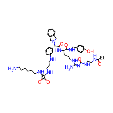 CCC(=O)NCCNC(=O)/N=C(/N)NCCC[C@@H](NC(=O)[C@H](c1cccc(NCCCNc2c(NCCCCCCN)c(=O)c2=O)c1)N1Cc2ccccc2C1)C(=O)NCc1ccc(O)cc1